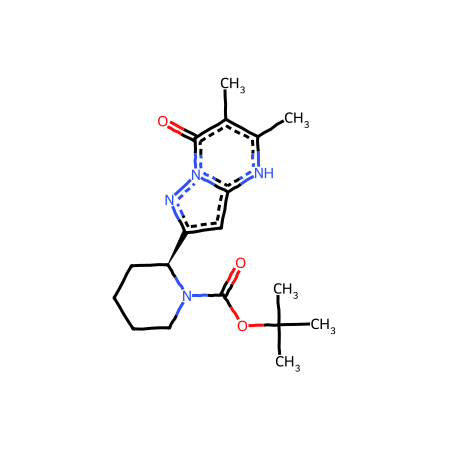 Cc1[nH]c2cc([C@@H]3CCCCN3C(=O)OC(C)(C)C)nn2c(=O)c1C